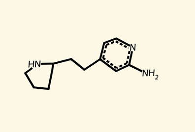 Nc1cc(CCC2CCCN2)ccn1